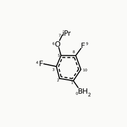 Bc1cc(F)c(OC(C)C)c(F)c1